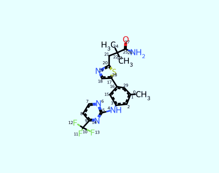 Cc1cc(Nc2nccc(C(F)(F)F)n2)cc(-c2cnc(CC(C)(C)C(N)=O)s2)c1